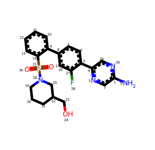 Nc1cnc(-c2ccc(-c3ccccc3S(=O)(=O)N3CCCC(CO)C3)cc2F)cn1